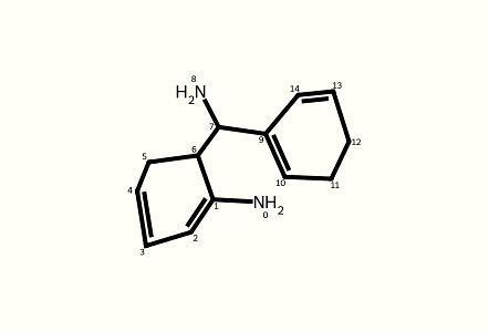 NC1=CC=CCC1C(N)C1=CCCC=C1